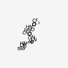 CC(C)(C)OC(=O)NCCn1ccc2ncnc(Oc3ccc(NC(=O)Nc4cccc(C(F)(F)F)c4)c(Cl)c3)c21